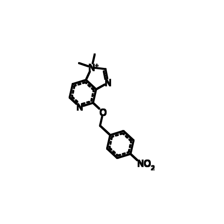 C[N+]1(C)C=Nc2c1ccnc2OCc1ccc([N+](=O)[O-])cc1